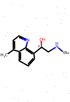 Cc1ccnc2c([C@@H](O)CNC(C)(C)C)cccc12